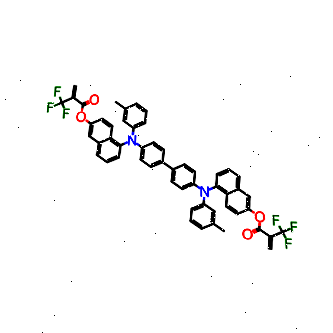 C=C(C(=O)Oc1ccc2c(N(c3ccc(-c4ccc(N(c5cccc(C)c5)c5cccc6cc(OC(=O)C(=C)C(F)(F)F)ccc56)cc4)cc3)c3cccc(C)c3)cccc2c1)C(F)(F)F